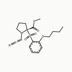 CCCCOc1ccccc1S(=O)(=O)[C@@]1(C(=O)OC)CCCN1N=[N+]=[N-]